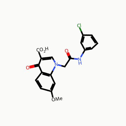 COc1ccc2c(=O)c(C(=O)O)cn(CC(=O)Nc3cccc(Cl)c3)c2c1